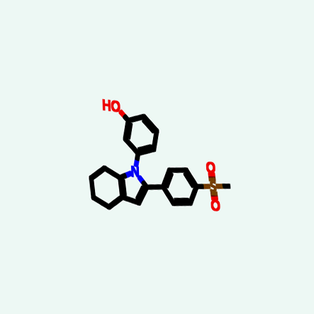 CS(=O)(=O)c1ccc(-c2cc3c(n2-c2cccc(O)c2)CCCC3)cc1